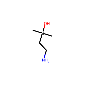 C[Si](C)(O)CCN